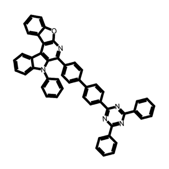 c1ccc(-c2nc(-c3ccccc3)nc(-c3ccc(-c4ccc(-c5nc6oc7ccccc7c6c6c7ccccc7n(-c7ccccc7)c56)cc4)cc3)n2)cc1